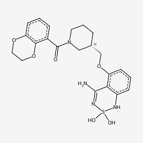 NC1=NS(O)(O)Nc2cccc(OC[C@H]3CCCN(C(=O)c4cccc5c4OCCO5)C3)c21